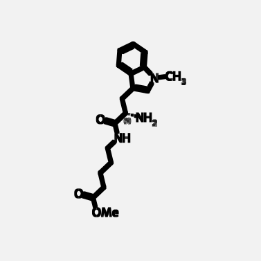 COC(=O)CCCCNC(=O)[C@@H](N)Cc1cn(C)c2ccccc12